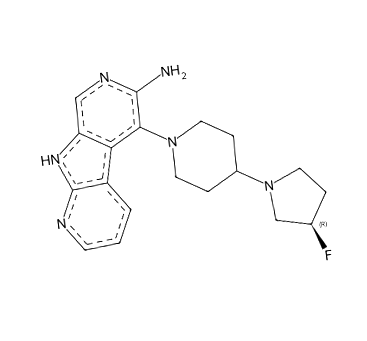 Nc1ncc2[nH]c3ncccc3c2c1N1CCC(N2CC[C@@H](F)C2)CC1